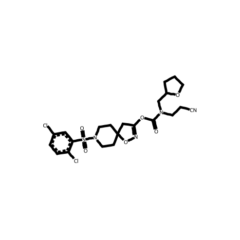 N#CCCN(CC1CCCO1)C(=O)OC1=NOC2(CCN(S(=O)(=O)c3cc(Cl)ccc3Cl)CC2)C1